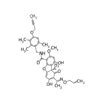 C=CCON=C(C)C1=C(O)C=C2Oc3c(C(=O)NCc4c(C)cc(OCC#CC)c(C)c4C)c(OC)cc(O)c3[C@]2(C)C1=O